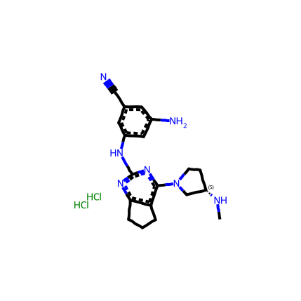 CN[C@H]1CCN(c2nc(Nc3cc(N)cc(C#N)c3)nc3c2CCC3)C1.Cl.Cl